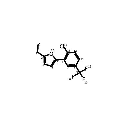 CCc1ccc(-c2cc(C(F)(F)F)ccc2Cl)o1